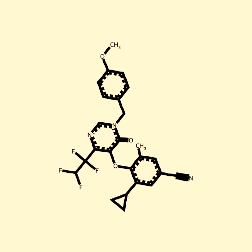 COc1ccc(Cn2cnc(C(F)(F)C(F)F)c(Oc3c(C)cc(C#N)cc3C3CC3)c2=O)cc1